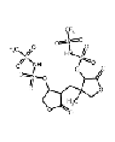 CC1(CC2C(=O)OCC2OS(=O)(=O)NS(=O)(=O)C(F)(F)F)COC(=O)C1OS(=O)(=O)NS(=O)(=O)C(F)(F)F